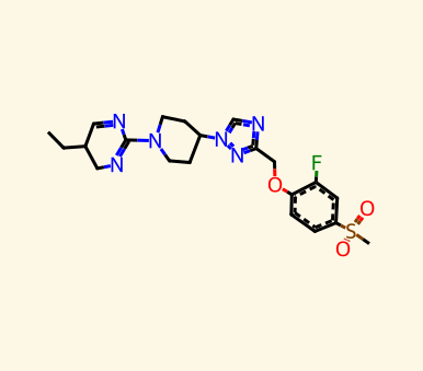 CCC1C=NC(N2CCC(n3cnc(COc4ccc(S(C)(=O)=O)cc4F)n3)CC2)=NC1